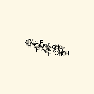 O[C@@H]1CO[C@H]2[C@@H]1OC[C@H]2Oc1cc2nc(-c3c(F)cc(N4CCOCC4)cc3F)ccc2[nH]1